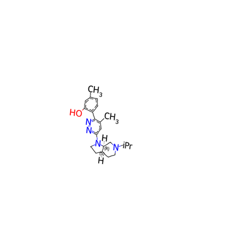 Cc1ccc(-c2nnc(N3CC[C@@H]4CCN(C(C)C)C[C@@H]43)cc2C)c(O)c1